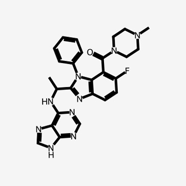 CC(Nc1ncnc2[nH]cnc12)c1nc2ccc(F)c(C(=O)N3CCN(C)CC3)c2n1-c1ccccc1